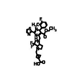 CCOC(=O)C1=C(CN2CC(F)(F)C3C2CCN3CC23CC(C(=O)O)(C2)C3)NC(c2nccs2)=NC1c1cccc(F)c1C